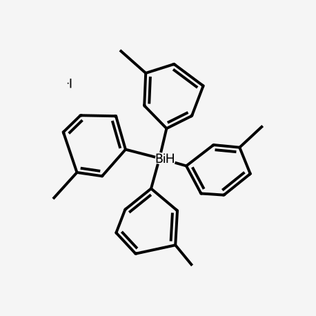 Cc1ccc[c]([BiH]([c]2cccc(C)c2)([c]2cccc(C)c2)[c]2cccc(C)c2)c1.[I]